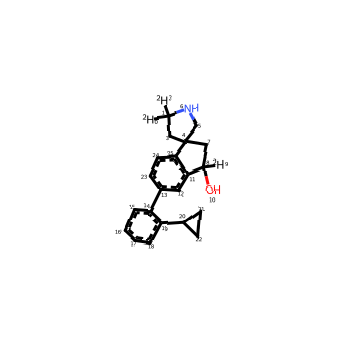 [2H]C1([2H])CC2(CN1)CC([2H])(O)c1cc(-c3ccccc3C3CC3)ccc12